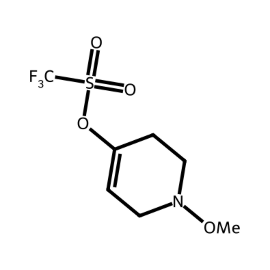 CON1CC=C(OS(=O)(=O)C(F)(F)F)CC1